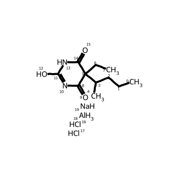 CCCC(C)C1(CC)C(=O)N=C(O)NC1=O.Cl.Cl.[AlH3].[NaH]